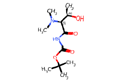 C[C@@H](O)[C@@H](C(=O)NC(=O)OC(C)(C)C)N(C)C